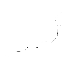 CCCCCCC[C@@H]1O[C@H]1CO